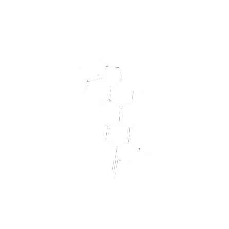 CCN(C(=O)N1CCC(O)C1C(=O)O)c1ccc(C#N)c(C(F)(F)F)c1